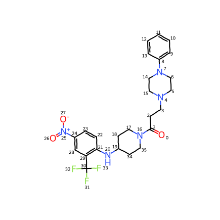 O=C(CCN1CCN(c2ccccc2)CC1)N1CCC(Nc2ccc([N+](=O)[O-])cc2C(F)(F)F)CC1